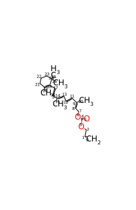 C=CCOC(=O)OCC=C(C)C=CC=C(C)C=CC1=C(C)CCCC1(C)C